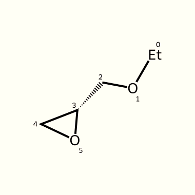 CCOC[C@H]1CO1